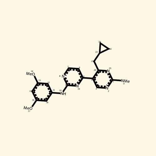 CNc1ncc(-c2ccnc(Nc3cc(OC)cc(OC)c3)n2)c(CC2CC2)n1